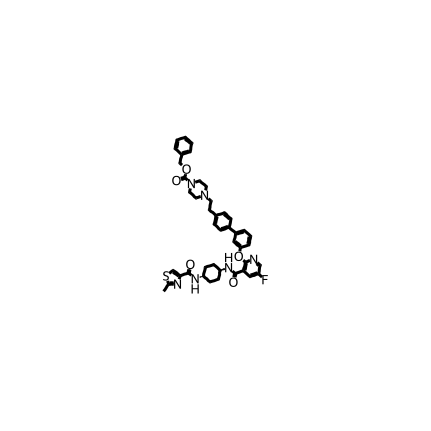 Cc1nc(C(=O)N[C@H]2CC[C@H](NC(=O)c3cc(F)cnc3Oc3cccc(-c4ccc(CCN5CCN(C(=O)OCc6ccccc6)CC5)cc4)c3)CC2)cs1